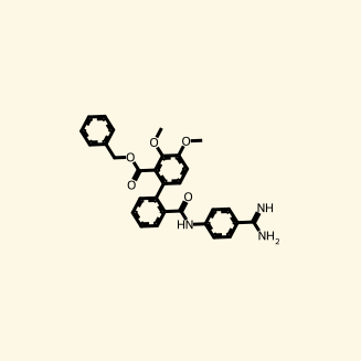 COc1ccc(-c2ccccc2C(=O)Nc2ccc(C(=N)N)cc2)c(C(=O)OCc2ccccc2)c1OC